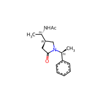 CC(=O)N[C@@H](C)[C@@H]1CC(=O)N([C@@H](C)c2ccccc2)C1